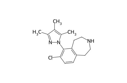 Cc1nn(-c2c(Cl)ccc3c2CCNCC3)c(C)c1C